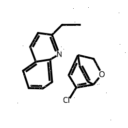 CCc1ccc2ccccc2n1.Clc1cc2ccc1OC2